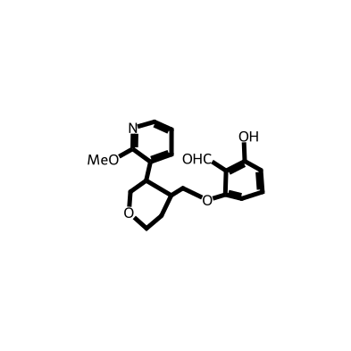 COc1ncccc1C1COCCC1COc1cccc(O)c1C=O